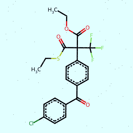 CCOC(=O)C(C(=O)SCC)(c1ccc(C(=O)c2ccc(Cl)cc2)cc1)C(F)(F)F